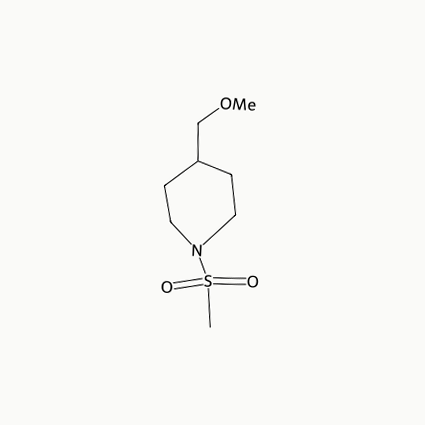 COCC1CCN(S(C)(=O)=O)CC1